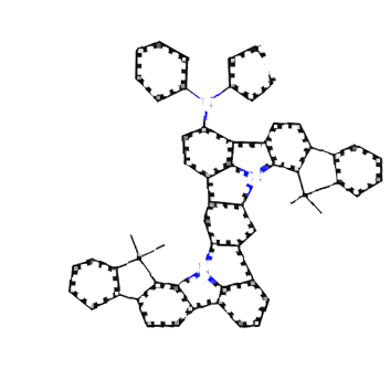 CC1(C)c2ccccc2-c2ccc3c4cccc5c6cc7c(cc6n(c3c21)c54)c1ccc(N(c2ccccc2)c2ccccc2)c2c3ccc4c(c3n7c12)C(C)(C)c1ccccc1-4